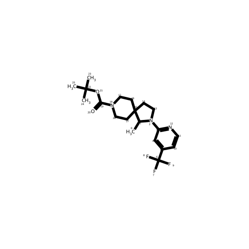 CC1N(c2cc(C(F)(F)F)ccn2)CCC12CCN(C(=O)OC(C)(C)C)CC2